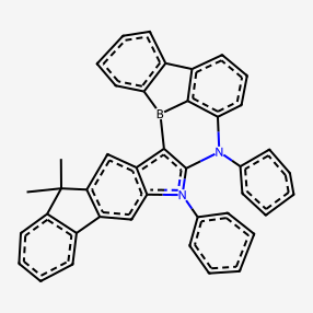 CC1(C)c2ccccc2-c2cc3c(cc21)c1c(n3-c2ccccc2)N(c2ccccc2)c2cccc3c2B1c1ccccc1-3